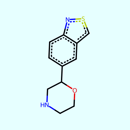 c1cc2nscc2cc1C1CNCCO1